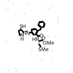 COC(=O)[C@H](CCSC)NC(=O)c1cc(NC[C@H]2NCC[C@H]2S)ccc1Cc1ccccc1